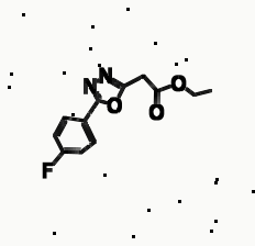 CCOC(=O)Cc1nnc(-c2ccc(F)cc2)o1